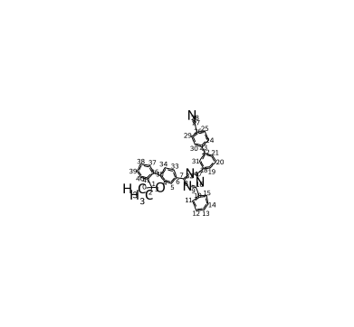 CC1(C)Oc2cc(-c3nc(-c4ccccc4)nc(-c4cccc(-c5ccc(C#N)cc5)c4)n3)ccc2-c2ccccc21